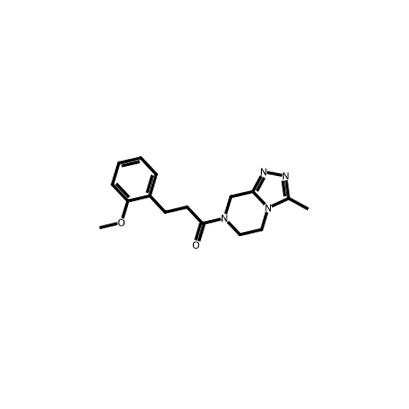 COc1ccccc1CCC(=O)N1CCn2c(C)nnc2C1